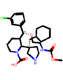 COC(=O)NCCO[C@@H](c1cccc(Cl)c1)C1CCCN(C(=O)O)C1[C@@]1(CC2CCCCC2)CCNC1